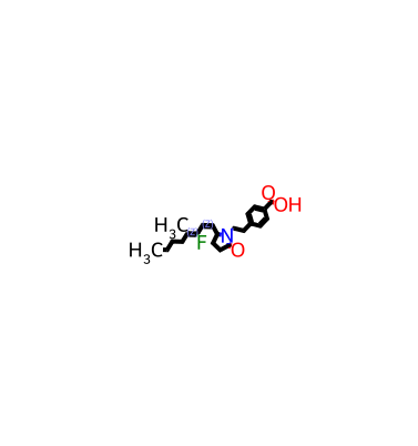 CCCC/C(C)=C(F)/C=C\C1CCC(=O)N1CCc1ccc(C(=O)O)cc1